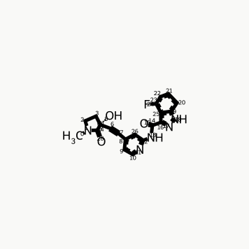 CN1CC[C@@](O)(C#Cc2ccnc(NC(=O)c3n[nH]c4cccc(F)c34)c2)C1=O